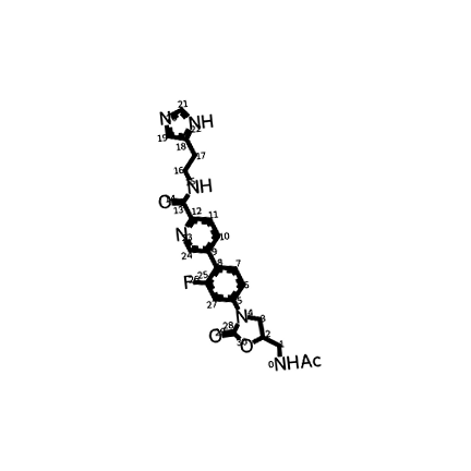 CC(=O)NCC1CN(c2ccc(-c3ccc(C(=O)NCCc4cnc[nH]4)nc3)c(F)c2)C(=O)O1